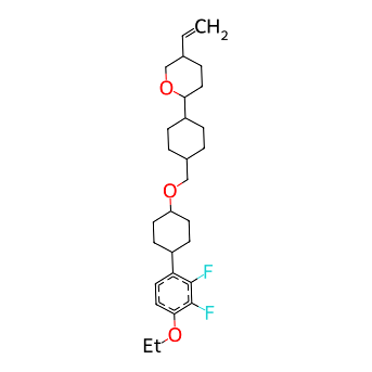 C=CC1CCC(C2CCC(COC3CCC(c4ccc(OCC)c(F)c4F)CC3)CC2)OC1